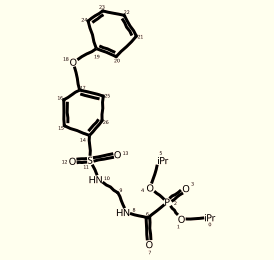 CC(C)OP(=O)(OC(C)C)C(=O)NCNS(=O)(=O)c1ccc(Oc2ccccc2)cc1